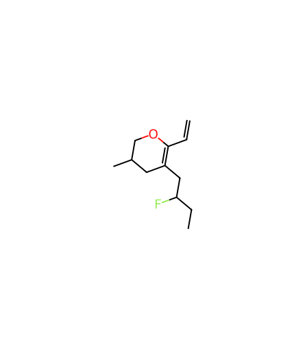 C=CC1=C(CC(F)CC)CC(C)CO1